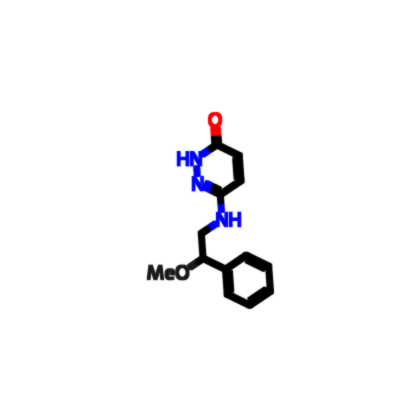 COC(CNc1ccc(=O)[nH]n1)c1ccccc1